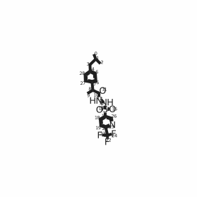 CC(C)Cc1ccc(C(C)C(=O)NNS(=O)(=O)c2ccc(C(F)(F)F)nc2)cc1